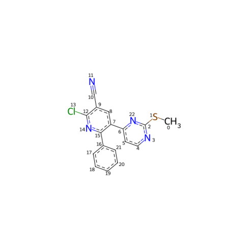 CSc1nccc(-c2cc(C#N)c(Cl)nc2-c2ccccc2)n1